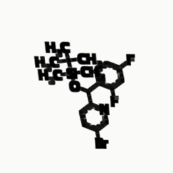 CC(C)(C)[Si](C)(C)OC(c1ccc(Br)cn1)c1ccc(F)cc1F